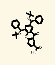 CC(C)(C)OC(c1ccccc1)c1cc(C(OC(C)(C)C)c2ccccc2)c2oc3ccc(C(=O)O)cc3c(=O)c2c1